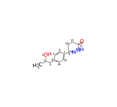 CC(O)Cc1ccc(C2=NNC(=O)CC2)cc1